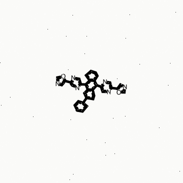 c1ccc(-c2ccc3c(-c4cnc(-c5cnco5)cn4)c4ccccc4c(-c4cnc(-c5cnco5)cn4)c3c2)cc1